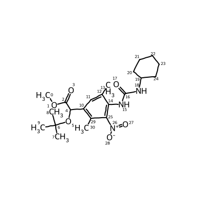 COC(=O)C(OC(C)(C)C)c1cc(C)c(NC(=O)NC2CCCCC2)c([N+](=O)[O-])c1C